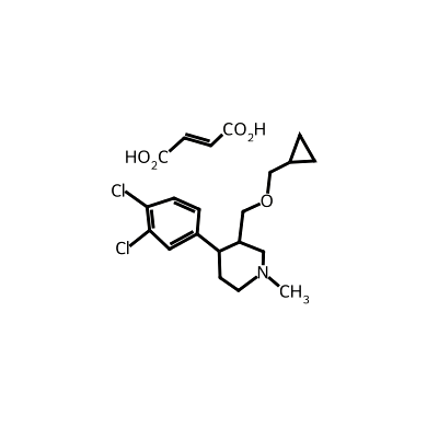 CN1CCC(c2ccc(Cl)c(Cl)c2)C(COCC2CC2)C1.O=C(O)C=CC(=O)O